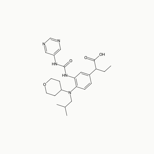 CCC(C(=O)O)c1ccc(N(CC(C)C)C2CCOCC2)c(NC(=O)Nc2cncnc2)c1